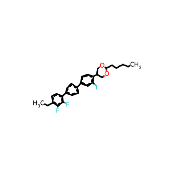 CCCCCC1OCC(c2ccc(-c3ccc(-c4ccc(CC)c(F)c4F)cc3)cc2F)CO1